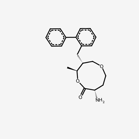 C[C@@H]1OC(=O)[C@@H](N)CCOC[C@H]1Cc1ccccc1-c1ccccc1